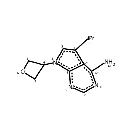 CC(C)c1cn(C2COC2)c2ncnc(N)c12